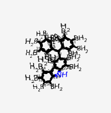 Bc1c(B)c(B)c(C(c2c(B)c(B)c(B)c(B)c2B)c2c(B)c(B)c3[nH]c4c(B)c(B)c(B)c(B)c4c3c2B)c(B)c1B